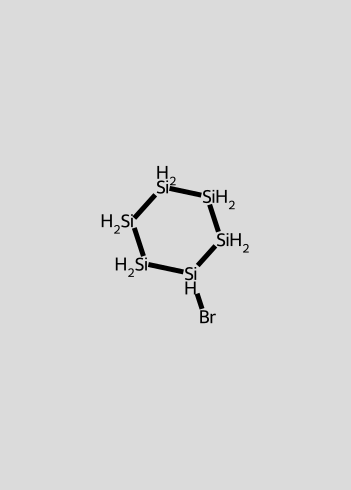 Br[SiH]1[SiH2][SiH2][SiH2][SiH2][SiH2]1